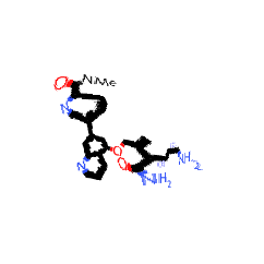 C=C(COc1cc(-c2ccc(C(=O)NC)nc2)cc2ncccc12)/C(=C\C=C/N)C(N)=O